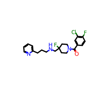 O=C(c1ccc(F)c(Cl)c1)N1CCC(F)(CNCCCc2ccccn2)CC1